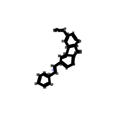 CCCCCc1cnc2[nH]c3ccc(/C=C/c4ccccc4)cc3c2c1